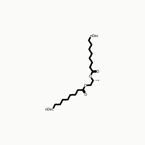 [CH2][C@H](COC(=O)CCCCCCCCCCCCCCCCC)OC(=O)CCCCCCCCCCCCCCCCC